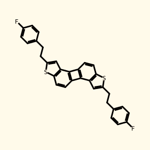 Fc1ccc(CCc2cc3c4c(ccc3s2)-c2c-4ccc3sc(CCc4ccc(F)cc4)cc23)cc1